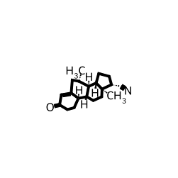 C[C@H]1CC2=CC(=O)CC[C@@H]2[C@H]2CC[C@]3(C)[C@@H](C#N)CC[C@H]3[C@@H]21